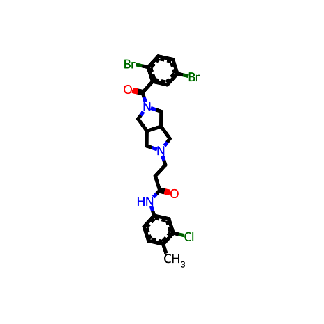 Cc1ccc(NC(=O)CCN2CC3CN(C(=O)c4cc(Br)ccc4Br)CC3C2)cc1Cl